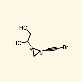 OCC(O)[C@H]1C[C@@H]1C#CBr